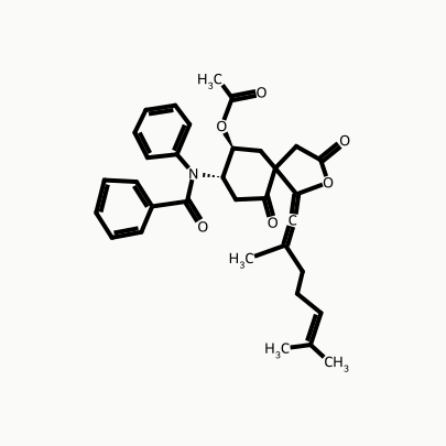 CC(=O)O[C@H]1CC2(CC(=O)OC2=C=C(C)CCC=C(C)C)C(=O)C[C@@H]1N(C(=O)c1ccccc1)c1ccccc1